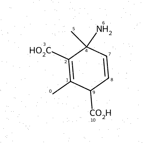 CC1=C(C(=O)O)C(C)(N)C=CC1C(=O)O